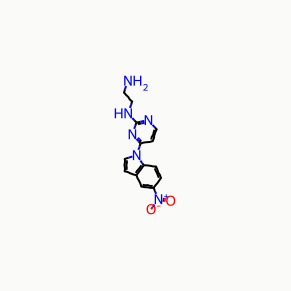 NCCNc1nccc(-n2ccc3cc([N+](=O)[O-])ccc32)n1